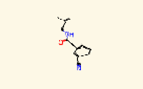 C=C(C)CNC(=O)C1C=CCC(C#N)=C1